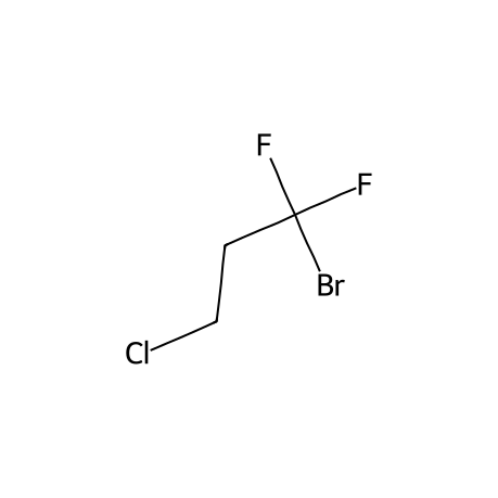 FC(F)(Br)CCCl